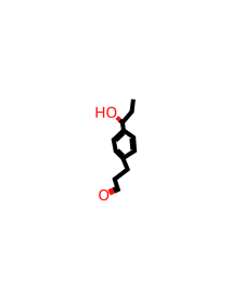 CCC(O)c1ccc(CCC=O)cc1